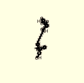 Cc1nn2c(N3CCC(CCO)CC3)cc(-c3ccccc3)nc2c1-c1ccc(CCCCCCCCCNC(=O)COc2cccc3c2CN(C2CCC(=O)NC2=O)C3=O)cc1